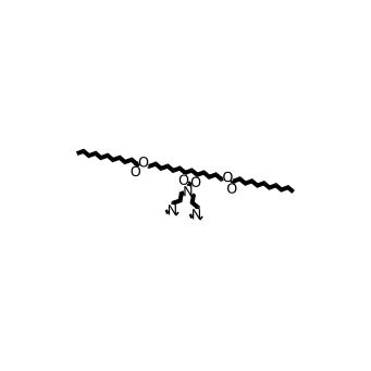 CCCCCCCCCCC(=O)OCCCCCCC(CCCCCCOC(=O)CCCCCCCCCC)OC(=O)N(CCCN(C)C)CCCN(C)C